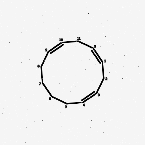 C1=CCC=CCCCCC=CC1